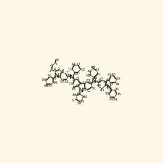 C=C/C=C\c1cc2cc(N(c3ccccc3)c3ccc4c(c3)c3cc(N(C5=Cc6c(n(-c7ccccc7)c7ccccc67)CC5)c5ccccc5)ccc3n4C3=CC=CCC3)ccc2n1-c1ccccc1